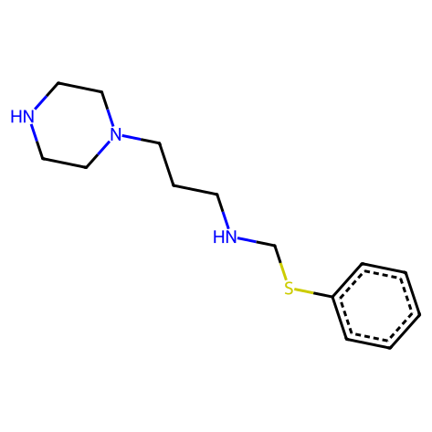 c1ccc(SCNCCCN2CCNCC2)cc1